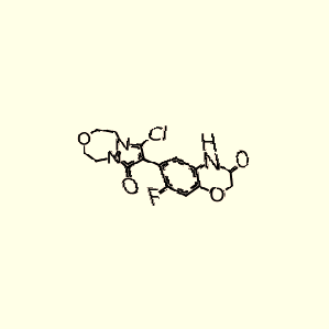 O=C1COc2cc(F)c(-c3c(Cl)n4n(c3=O)CCOCC4)cc2N1